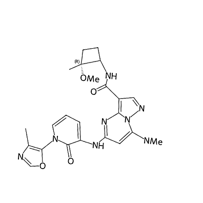 CNc1cc(Nc2cccn(-c3ocnc3C)c2=O)nc2c(C(=O)NC3CC[C@@]3(C)OC)cnn12